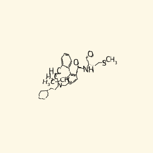 CSCC[C@@H](C=O)NC(=O)c1ccc(CN(CCC2CCCCC2)C(C)(C)C)cc1-c1ccccc1C